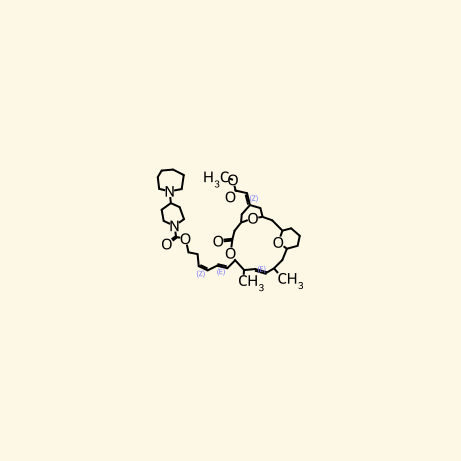 COC(=O)/C=C1\CC2CC(=O)OC(/C=C/C=C\CCOC(=O)N3CCC(N4CCCCCC4)CC3)C(C)/C=C/C(C)CC3CCCC(CC(C1)O2)O3